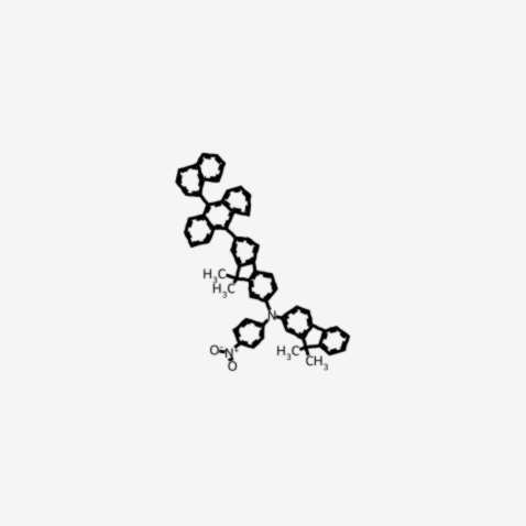 CC1(C)c2ccccc2-c2ccc(N(c3ccc([N+](=O)[O-])cc3)c3ccc4c(c3)C(C)(C)c3cc(-c5c6ccccc6c(-c6cccc7ccccc67)c6ccccc56)ccc3-4)cc21